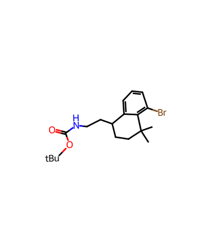 CC(C)(C)OC(=O)NCCC1CCC(C)(C)c2c(Br)cccc21